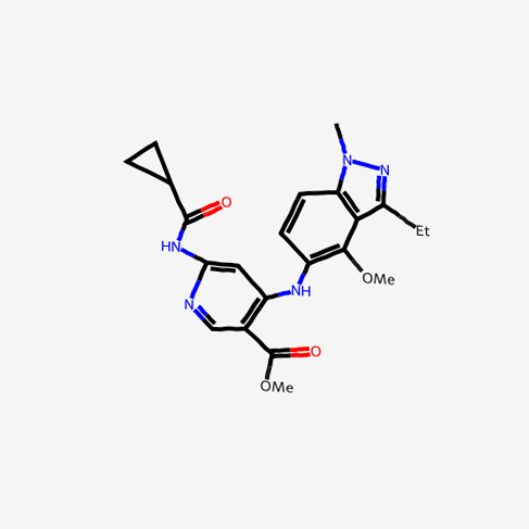 CCc1nn(C)c2ccc(Nc3cc(NC(=O)C4CC4)ncc3C(=O)OC)c(OC)c12